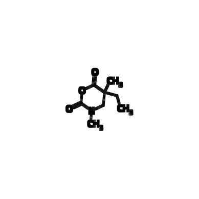 CCC1(C)CN(C)C(=O)OC1=O